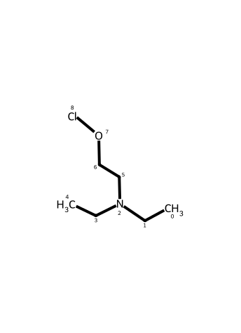 CCN(CC)CCOCl